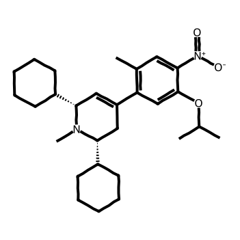 Cc1cc([N+](=O)[O-])c(OC(C)C)cc1C1=C[C@@H](C2CCCCC2)N(C)[C@@H](C2CCCCC2)C1